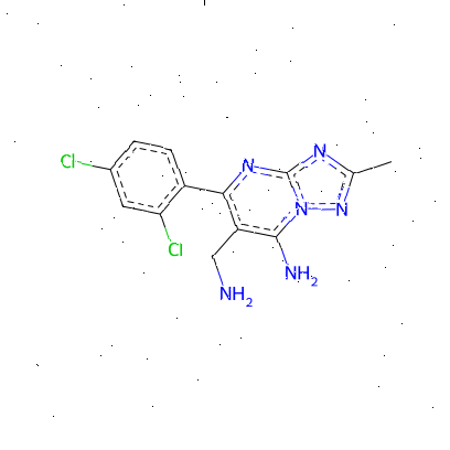 Cc1nc2nc(-c3ccc(Cl)cc3Cl)c(CN)c(N)n2n1